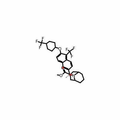 COC(=O)C1CC2CCCC(C1)N2[C@H](C)c1ccc2c(C(F)(F)F)c(OC3CCC(C(F)(F)F)CC3)ccc2c1